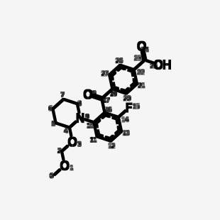 COCOC1CCCCN1c1cccc(F)c1C(=O)c1ccc(C(=O)O)cc1